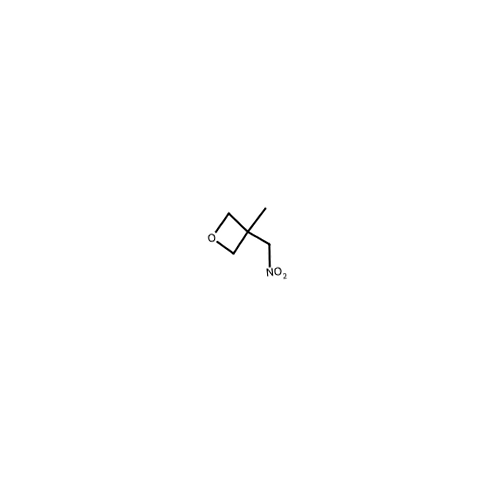 CC1(C[N+](=O)[O-])COC1